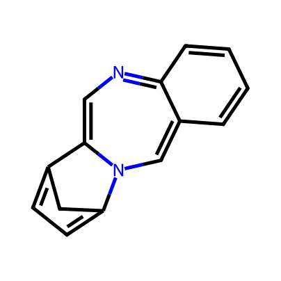 C1=C2CC(=C1)N1C=c3ccccc3=NC=C21